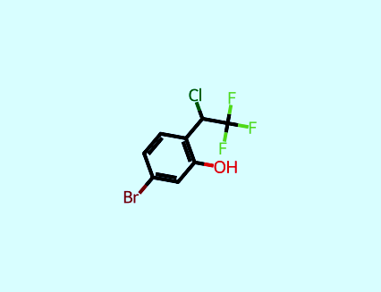 Oc1cc(Br)ccc1C(Cl)C(F)(F)F